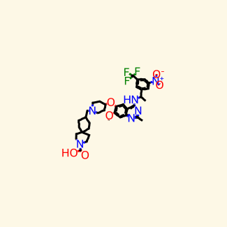 COc1cc2nc(C)nc(NC(C)c3cc([N+](=O)[O-])cc(C(F)(F)F)c3)c2cc1OC1CCN(CC2CCC3(CC2)CCN(C(=O)O)CC3)CC1